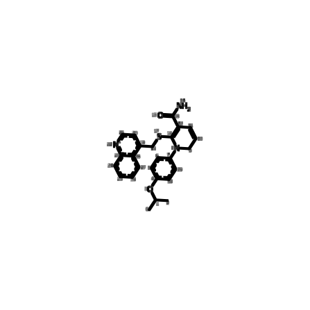 CC(C)Oc1ccc(N2CC=CC(C(N)=O)=C2SCc2ccnc3ccccc23)cc1